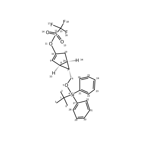 CC(C)(C)[Si](OC[C@@H]1[C@H]2C=C(OS(=O)(=O)C(F)(F)F)C[C@H]21)(c1ccccc1)c1ccccc1